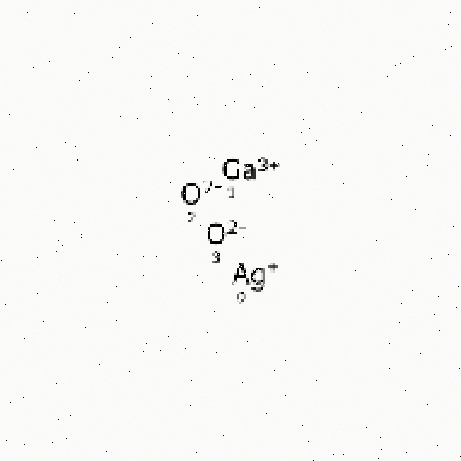 [Ag+].[Ga+3].[O-2].[O-2]